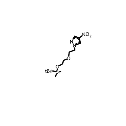 CC(C)(C)[Si](C)(C)OCCOCCn1cc([N+](=O)[O-])cn1